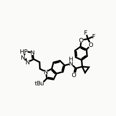 CC(C)(C)c1cc2cc(NC(=O)C3(c4ccc5c(c4)OC(F)(F)O5)CC3)ccc2n1CCc1nn[pH]n1